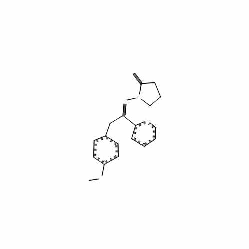 COc1ccc(C/C(=N/N2CCCC2=O)c2ccccn2)cc1